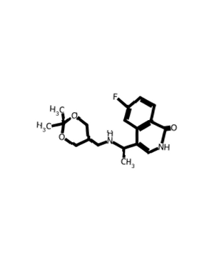 CC(NCC1COC(C)(C)OC1)c1c[nH]c(=O)c2ccc(F)cc12